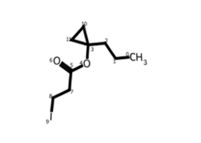 CCCC1(OC(=O)CCI)CC1